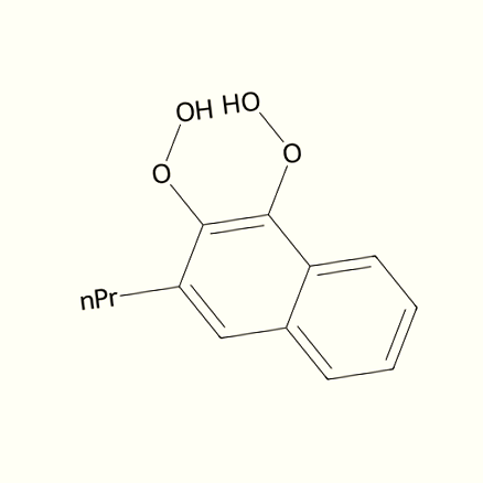 CCCc1cc2ccccc2c(OO)c1OO